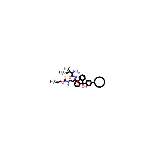 C=CCOC(=O)NCCC(NC(=O)C(N)C(C)CC)C(=O)c1ccccc1C(O)(c1ccccc1)c1ccc(C2CCCCCCCCCC2)cc1